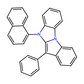 c1ccc(-c2c3ccccc3n3c4ccccc4n(-c4cccc5ccccc45)c23)cc1